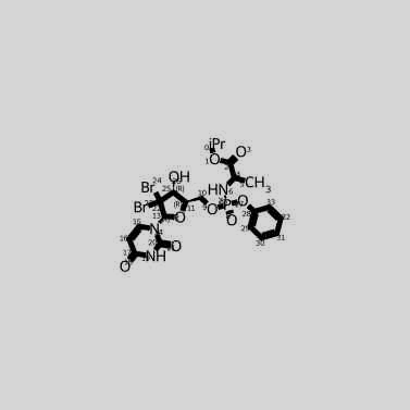 CC(C)OC(=O)C(C)N[P@](=O)(OC[C@H]1O[C@@H](n2ccc(=O)[nH]c2=O)C(Br)(Br)[C@@H]1O)Oc1ccccc1